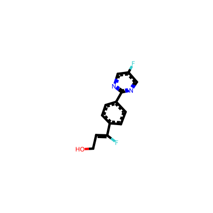 OCC=C(F)c1ccc(-c2ncc(F)cn2)cc1